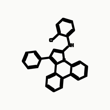 Clc1ccccc1Nc1cc(-c2ccccc2)c2c3ccccc3c3ccccc3n12